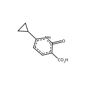 O=C(O)c1ccc(C2CC2)[nH]c1=O